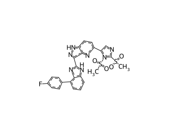 CS(=O)(=O)c1ncc(-c2ccc3[nH]nc(-c4nc5c(-c6ccc(F)cc6)cccc5[nH]4)c3n2)n1S(C)(=O)=O